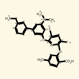 Cc1ccc(C(=O)O)c(Oc2nc(Oc3cc(-c4cccc(CN)c4)cc(N(C)C)c3)c(F)cc2F)c1